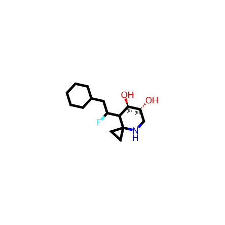 O[C@@H]1CNC2(CC2)C(C(F)CC2CCCCC2)[C@H]1O